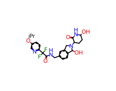 CC(C)Oc1ccc(C(F)(F)C(=O)NCc2ccc3c(c2)CN(C2CCC(O)NC2=O)C3O)nc1